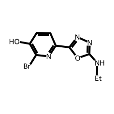 CCNc1nnc(-c2ccc(O)c(Br)n2)o1